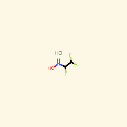 Cl.ONC(F)C(F)F